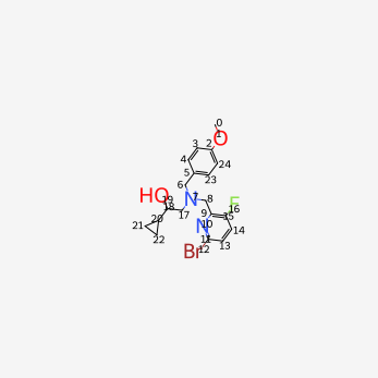 COc1ccc(CN(Cc2nc(Br)ccc2F)CC(O)C2CC2)cc1